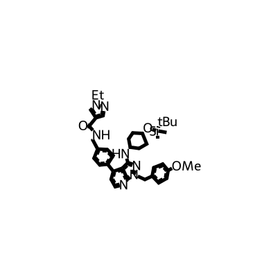 CCn1cc(C(=O)NCc2ccc(-c3ccnc4c3c(N[C@H]3CC[C@H](O[Si](C)(C)C(C)(C)C)CC3)nn4Cc3ccc(OC)cc3)cc2)cn1